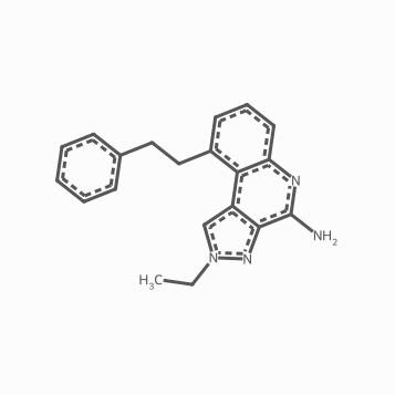 CCn1cc2c(n1)c(N)nc1cccc(CCc3ccccc3)c12